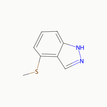 CSc1cccc2[nH]ncc12